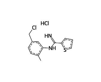 Cc1ccc(CCl)cc1NC(=N)c1cccs1.Cl